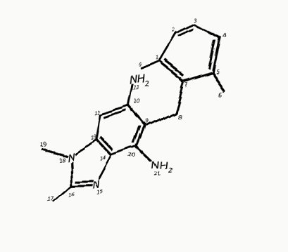 Cc1cccc(C)c1Cc1c(N)cc2c(nc(C)n2C)c1N